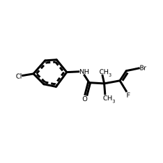 CC(C)(C(=O)Nc1ccc(Cl)cc1)C(F)=CBr